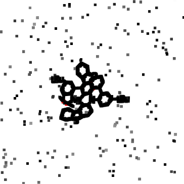 CC(C)(C)c1ccc(N2c3cc4oc5ccccc5c4c4c3B(c3c2ccc2sc5ccccc5c32)N2c3c-4cc(C(C)(C)C)cc3C3(C)CCCCC23C)c(-c2ccccc2)c1